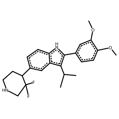 COc1ccc(-c2[nH]c3ccc(C4CCNCC4(F)F)cc3c2C(C)C)cc1OC